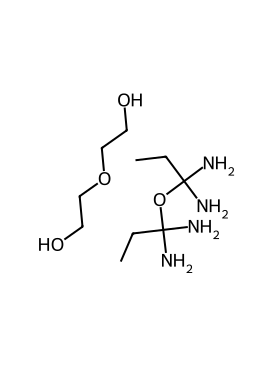 CCC(N)(N)OC(N)(N)CC.OCCOCCO